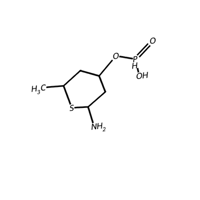 CC1CC(O[PH](=O)O)CC(N)S1